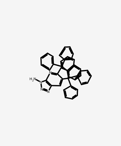 Nn1nnc2cc(C(c3ccccc3)(c3ccccc3)c3ccccc3)c(C(c3ccccc3)(c3ccccc3)c3ccccc3)nc21